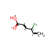 C=CC(F)C=CC(=O)O